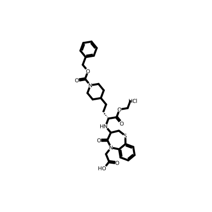 CCOC(=O)[C@@H](CCC1CCN(C(=O)OCc2ccccc2)CC1)NC1CSc2ccccc2N(CC(=O)O)C1=O.Cl